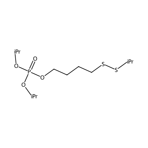 CC(C)OP(=O)(OCCCCSSC(C)C)OC(C)C